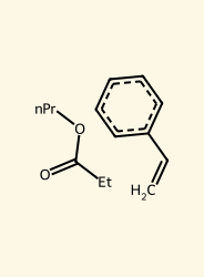 C=Cc1ccccc1.CCCOC(=O)CC